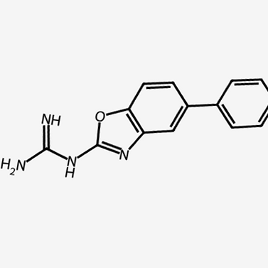 N=C(N)Nc1nc2cc(-c3ccccc3)ccc2o1